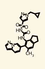 Cc1cc2c(c(NC(=O)NS(=O)(=O)c3cnn(CC4CC4)c3)c1-c1ccc3ccnn3c1)CCC2